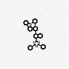 c1ccc(-c2nc(-c3ccccc3)nc(-c3ccc(-c4ccc(-c5ccccc5-n5c6ccccc6c6ccccc65)cc4)c4ccccc34)n2)cc1